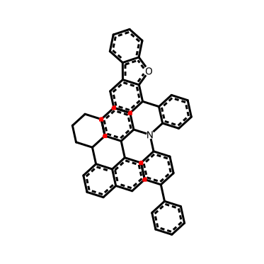 c1ccc(-c2ccc(N(c3ccccc3-c3cccc4c3oc3ccccc34)c3ccccc3-c3cccc4cccc(C5CCCCC5)c34)cc2)cc1